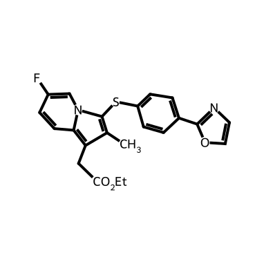 CCOC(=O)Cc1c(C)c(Sc2ccc(-c3ncco3)cc2)n2cc(F)ccc12